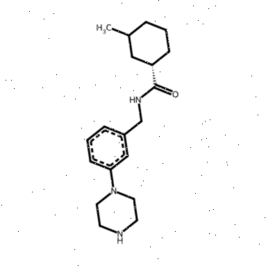 CC1CCC[C@H](C(=O)NCc2cccc(N3CCNCC3)c2)C1